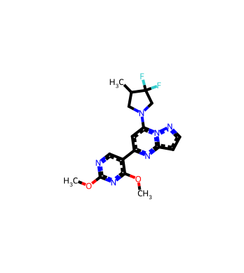 COc1ncc(-c2cc(N3CC(C)C(F)(F)C3)n3nccc3n2)c(OC)n1